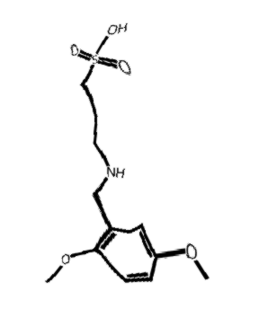 COc1ccc(OC)c(CNCCCS(=O)(=O)O)c1